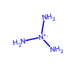 N[N+](N)N